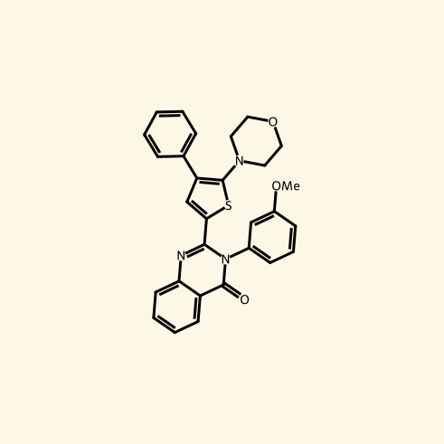 COc1cccc(-n2c(-c3cc(-c4ccccc4)c(N4CCOCC4)s3)nc3ccccc3c2=O)c1